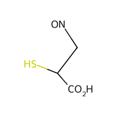 O=NCC(S)C(=O)O